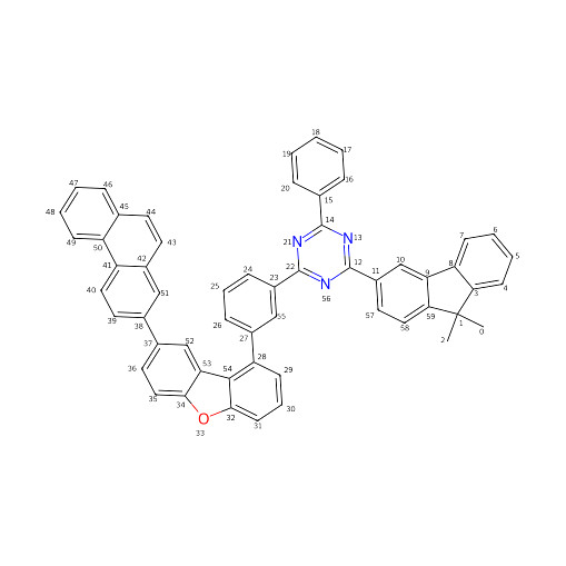 CC1(C)c2ccccc2-c2cc(-c3nc(-c4ccccc4)nc(-c4cccc(-c5cccc6oc7ccc(-c8ccc9c(ccc%10ccccc%109)c8)cc7c56)c4)n3)ccc21